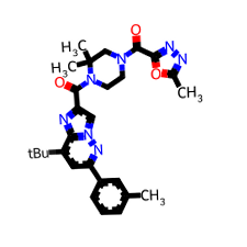 Cc1cccc(-c2cc(C(C)(C)C)c3nc(C(=O)N4CCN(C(=O)c5nnc(C)o5)CC4(C)C)cn3n2)c1